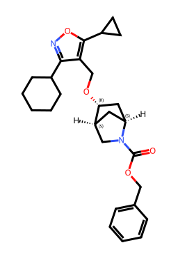 O=C(OCc1ccccc1)N1C[C@@H]2C[C@H]1C[C@H]2OCc1c(C2CCCCC2)noc1C1CC1